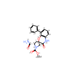 CC(C)(C)OC(=O)N1C[C@@]2(C[C@H]1C(N)=O)Oc1c(cccc1-c1ccccc1)NC2=O